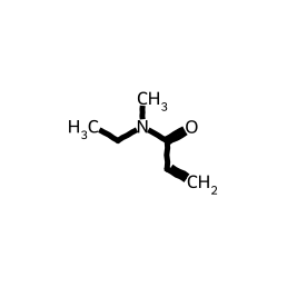 C=CC(=O)N(C)CC